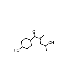 CC(O)CN(C)C(=O)C1CC[C](O)CC1